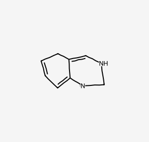 C1=CCC2=CNC[N]C2=C1